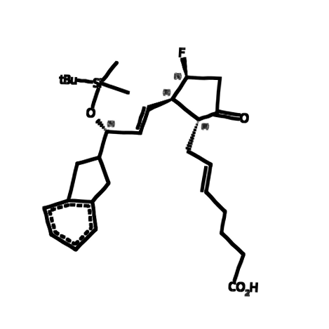 CC(C)(C)[Si](C)(C)O[C@H](C=C[C@H]1[C@@H](F)CC(=O)[C@@H]1CC=CCCCC(=O)O)C1Cc2ccccc2C1